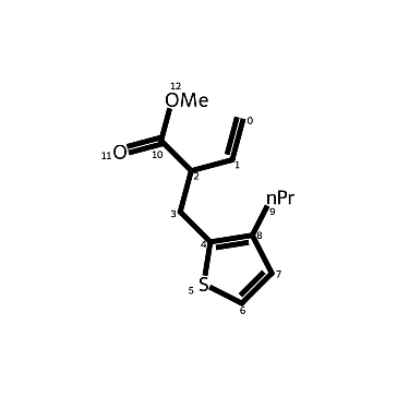 C=CC(Cc1sccc1CCC)C(=O)OC